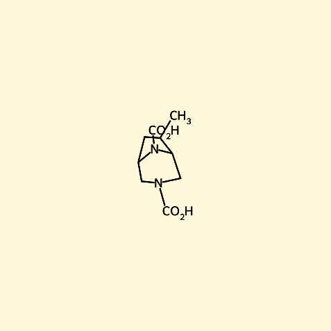 CC1CC2CN(C(=O)O)CC1N2C(=O)O